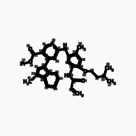 C=CC(=O)Nc1cc(Nc2ncc(C(=O)OC(C)C)c(-c3cn(C)c4ccccc34)n2)c(C)cc1OCCN(C)C